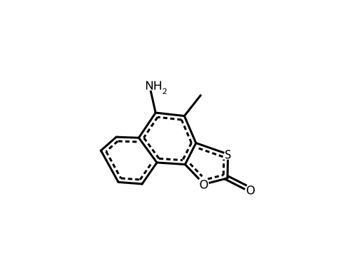 Cc1c(N)c2ccccc2c2oc(=O)sc12